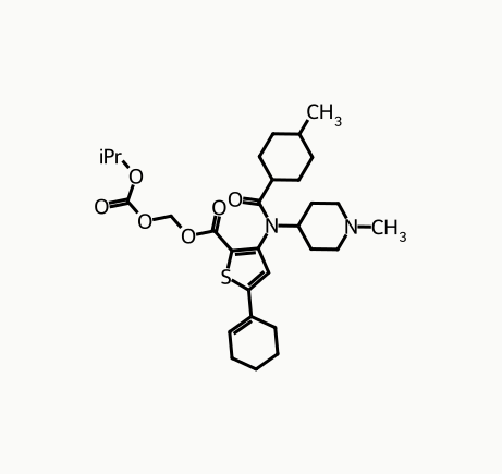 CC1CCC(C(=O)N(c2cc(C3=CCCCC3)sc2C(=O)OCOC(=O)OC(C)C)C2CCN(C)CC2)CC1